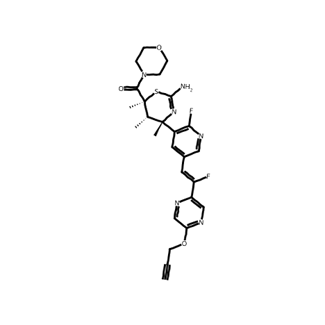 C#CCOc1cnc(/C(F)=C/c2cnc(F)c([C@@]3(C)N=C(N)S[C@](C)(C(=O)N4CCOCC4)[C@H]3C)c2)cn1